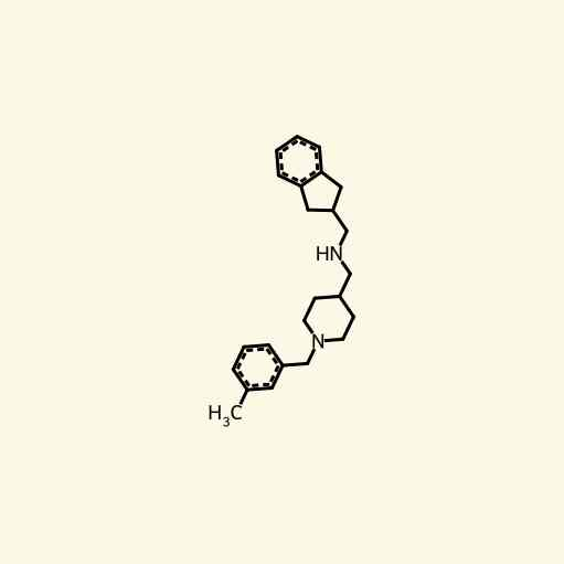 Cc1cccc(CN2CCC(CNCC3Cc4ccccc4C3)CC2)c1